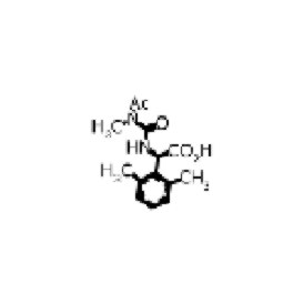 CC(=O)N(C)C(=O)NC(C(=O)O)c1c(C)cccc1C